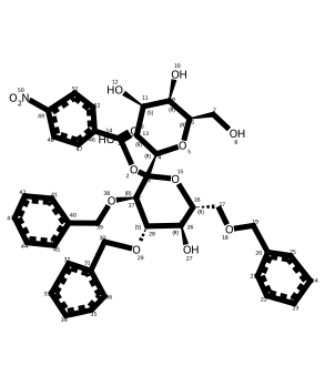 O=C(OC1([C@@H]2O[C@H](CO)[C@H](O)[C@H](O)[C@H]2O)O[C@H](COCc2ccccc2)[C@@H](O)[C@H](OCc2ccccc2)[C@H]1OCc1ccccc1)c1ccc([N+](=O)[O-])cc1